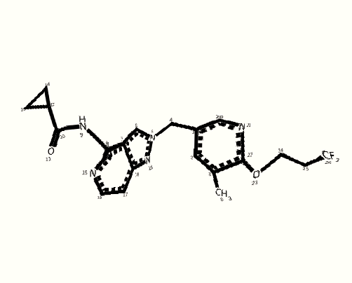 Cc1cc(Cn2cc3c(NC(=O)C4CC4)nccc3n2)cnc1OCCC(F)(F)F